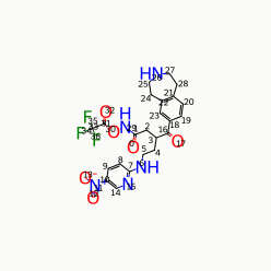 O=C(CC(CCNc1ccc([N+](=O)[O-])cn1)C(=O)c1ccc2c(c1)CCNCC2)NOC(=O)C(F)(F)F